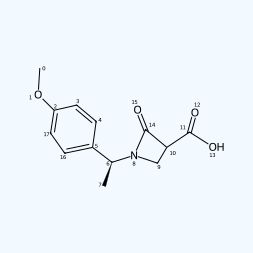 COc1ccc([C@H](C)N2CC(C(=O)O)C2=O)cc1